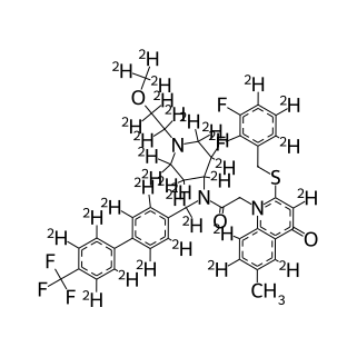 [2H]c1c([2H])c(F)c(F)c(CSc2c([2H])c(=O)c3c([2H])c(C)c([2H])c([2H])c3n2CC(=O)N(C([2H])([2H])c2c([2H])c([2H])c(-c3c([2H])c([2H])c(C(F)(F)F)c([2H])c3[2H])c([2H])c2[2H])C2([2H])C([2H])([2H])C([2H])([2H])N(C([2H])([2H])C([2H])([2H])OC([2H])([2H])[2H])C([2H])([2H])C2([2H])[2H])c1[2H]